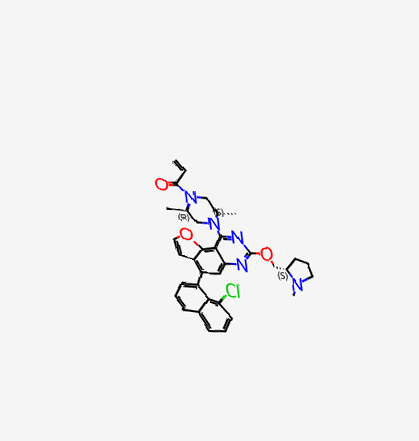 C=CC(=O)N1C[C@H](C)N(c2nc(OC[C@@H]3CCCN3C)nc3cc(-c4cccc5cccc(Cl)c45)c4ccoc4c23)C[C@H]1C